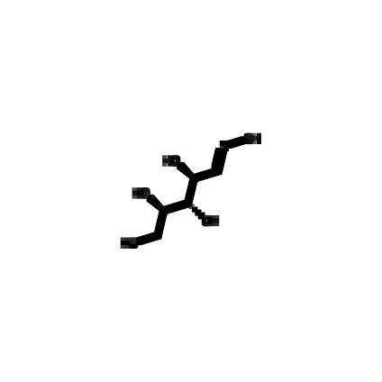 OC[C@@H](O)[C@@H](O)[C@@H](O)C=NO